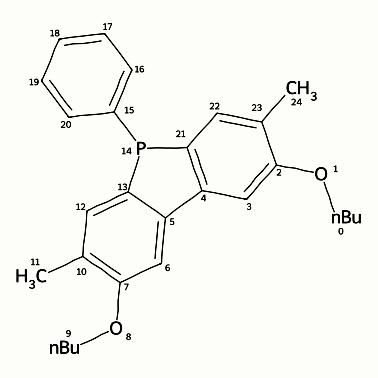 CCCCOc1cc2c3cc(OCCCC)c(C)cc3p(-c3ccccc3)c2cc1C